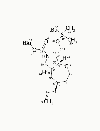 C=CC[C@@H]1CCO[C@@H]2[C@@H](C1)CN(C(=O)OC(C)(C)C)[C@@H]2CO[Si](C)(C)C(C)(C)C